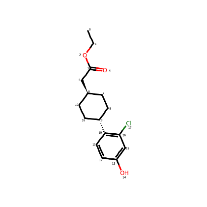 CCOC(=O)C[C@H]1CC[C@H](c2ccc(O)cc2Cl)CC1